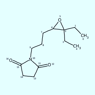 CCC1(CC)OC1CCCN1C(=O)CCC1=O